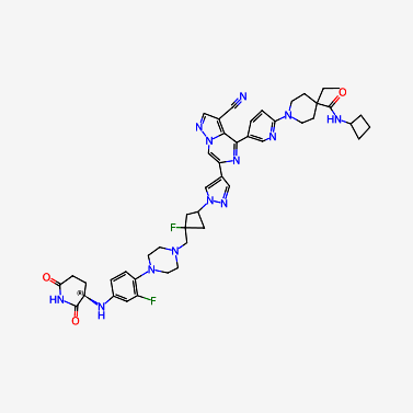 CCC1(C(=O)NC2CCC2)CCN(c2ccc(-c3nc(-c4cnn(C5CC(F)(CN6CCN(c7ccc(N[C@@H]8CCC(=O)NC8=O)cc7F)CC6)C5)c4)cn4ncc(C#N)c34)cn2)CC1